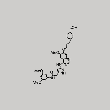 COc1cc(NC(=O)Cc2cc(Nc3ncnc4cc(OCCCN5CCC(CO)CC5)c(OC)cc34)n[nH]2)cc(OC)c1